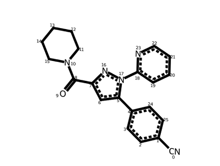 N#Cc1ccc(-c2cc(C(=O)N3CCCCC3)nn2-c2ccccn2)cc1